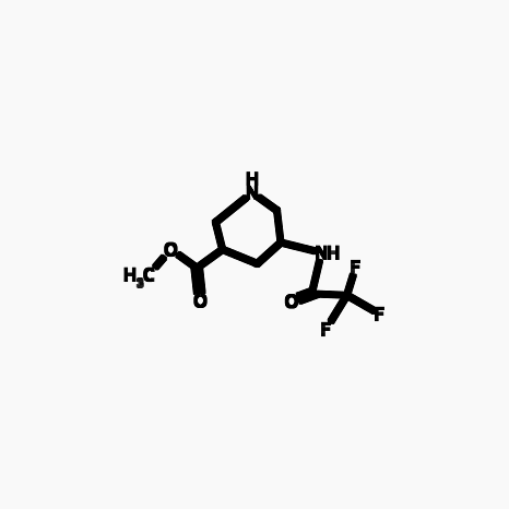 COC(=O)C1CNCC(NC(=O)C(F)(F)F)C1